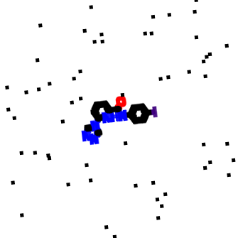 O=C(Nc1ccc(I)cc1)c1cccc(-n2cnnc2)n1